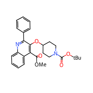 COC(=O)c1c(OC2CCN(C(=O)OC(C)(C)C)CC2)c(-c2ccccc2)nc2ccccc12